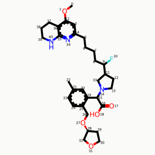 COc1cc(CCCCC(F)C2CCN(C(C(=O)O)c3cc(C)ccc3CO[C@H]3CCOC3)C2)nc2c1CCCN2